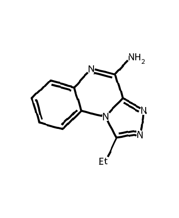 CCc1nnc2c(N)nc3ccccc3n12